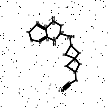 N#CCC1CC2(C1)CC(NC1CNC3=CCCC=C3N1)C2